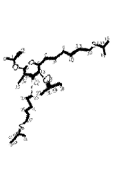 CC(C)O[C@H]1OC(CCCCCCSC(C)C)[C@@H](OC(C)C)[C@H](CCCCCSC(C)C)C1C